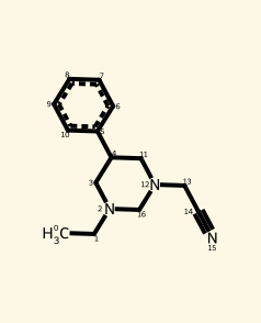 CCN1CC(c2ccccc2)CN(CC#N)C1